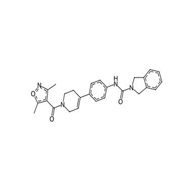 Cc1noc(C)c1C(=O)N1CC=C(c2ccc(NC(=O)N3Cc4ccccc4C3)cc2)CC1